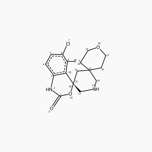 O=C1Nc2ccc(Cl)c(F)c2[C@@]2(CNCC3(CCOCC3)C2)O1